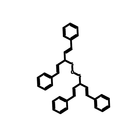 C(=CC(C=Cc1ccccc1)SOSC(C=Cc1ccccc1)C=Cc1ccccc1)c1ccccc1